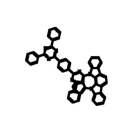 c1ccc(-c2nc(-c3ccccc3)nc(-c3ccc(-c4nc(-c5ccccc5)nc(-n5c6ccccc6c6ccc7c8ccccc8n(-c8ccccc8)c7c65)n4)cc3)n2)cc1